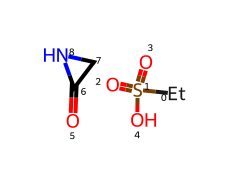 CCS(=O)(=O)O.O=C1CN1